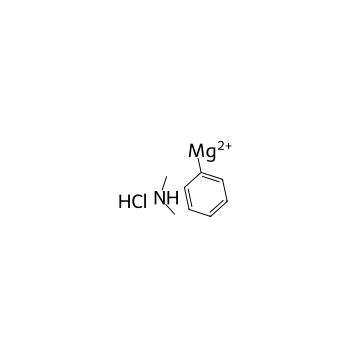 CNC.Cl.[Mg+2][c]1ccccc1